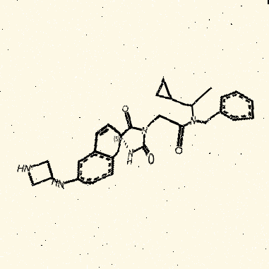 CC(C1CC1)N(Cc1ccccc1)C(=O)CN1C(=O)N[C@]2(C=Cc3cc(NC4CNC4)ccc32)C1=O